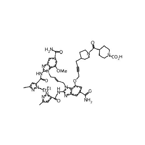 CCn1nc(C)cc1C(=O)Nc1nc2cc(C(N)=O)cc(OC)c2n1CC=CCn1c(NC(=O)c2cc(C)nn2CC)nc2cc(C(N)=O)cc(OCC#CCC3CCN(C(=O)C4CCN(C(=O)O)CC4)CC3)c21